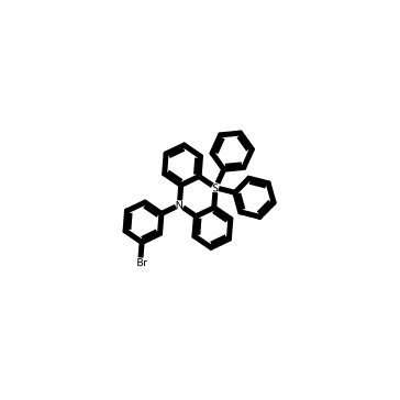 Brc1cccc(N2c3ccccc3S(c3ccccc3)(c3ccccc3)c3ccccc32)c1